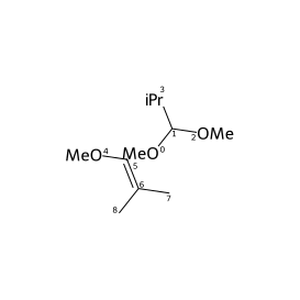 COC(OC)C(C)C.COC=C(C)C